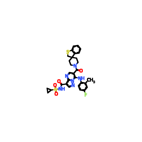 Cc1cc(F)ccc1Nc1c(C(=O)N2CCC3(CC2)CSc2ccccc23)cnc2c(C(=O)NS(=O)(=O)C3CC3)cnn12